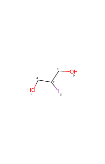 OCC(I)CO